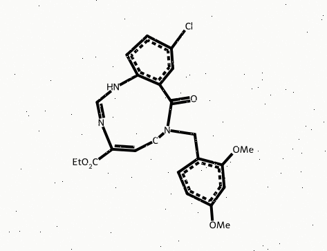 CCOC(=O)C1=CCN(Cc2ccc(OC)cc2OC)C(=O)c2cc(Cl)ccc2NC=N1